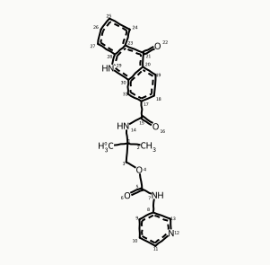 CC(C)(COC(=O)Nc1cccnc1)NC(=O)c1ccc2c(=O)c3ccccc3[nH]c2c1